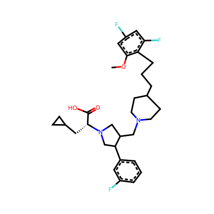 COc1cc(F)cc(F)c1CCCC1CCN(CC2CN([C@H](CC3CC3)C(=O)O)CC2c2cccc(F)c2)CC1